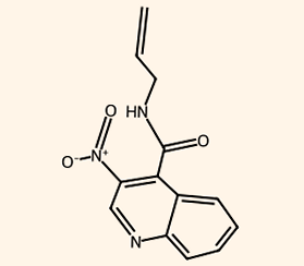 C=CCNC(=O)c1c([N+](=O)[O-])cnc2ccccc12